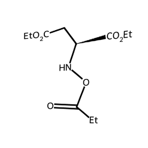 CCOC(=O)C[C@H](NOC(=O)CC)C(=O)OCC